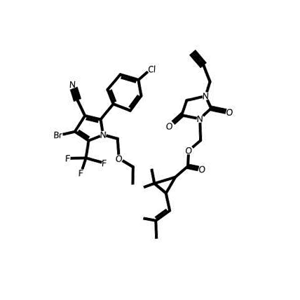 C#CCN1CC(=O)N(COC(=O)C2C(C=C(C)C)C2(C)C)C1=O.CCOCn1c(-c2ccc(Cl)cc2)c(C#N)c(Br)c1C(F)(F)F